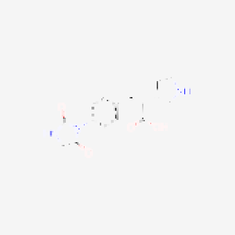 O=C(O)[C@@H](Cc1ccc(N2C(=O)CNC2=O)cc1)[C@H]1CCNC1